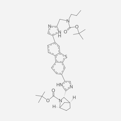 CCCN(Cc1ncc(-c2ccc3c(c2)sc2cc(-c4cnc([C@@H]5[C@H]6CC[C@H](C6)N5C(=O)OC(C)(C)C)[nH]4)ccc23)[nH]1)C(=O)OC(C)(C)C